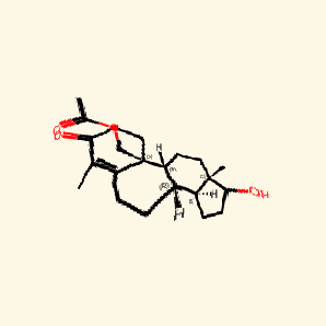 CC(=O)OC[C@]12CCC(=O)C(C)=C1CC[C@@H]1[C@H]2CC[C@]2(C)C(O)CC[C@@H]12